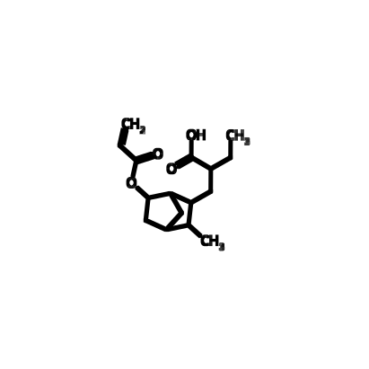 C=CC(=O)OC1CC2CC1C(CC(CC)C(=O)O)C2C